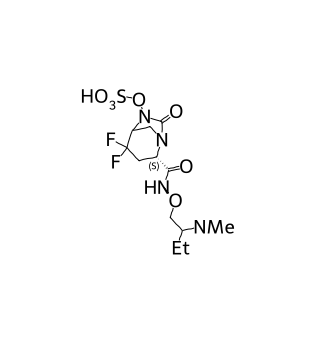 CCC(CONC(=O)[C@@H]1CC(F)(F)C2CN1C(=O)N2OS(=O)(=O)O)NC